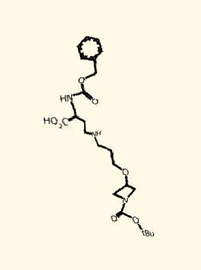 CC(C)(C)OC(=O)N1CC(OCCCNCCC(NC(=O)OCc2ccccc2)C(=O)O)C1